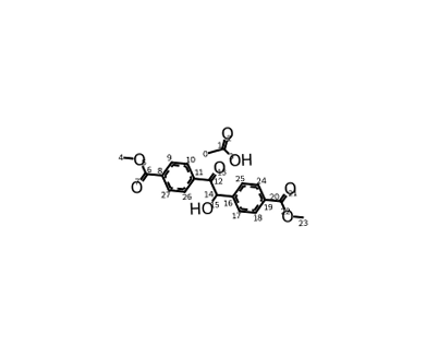 CC(=O)O.COC(=O)c1ccc(C(=O)C(O)c2ccc(C(=O)OC)cc2)cc1